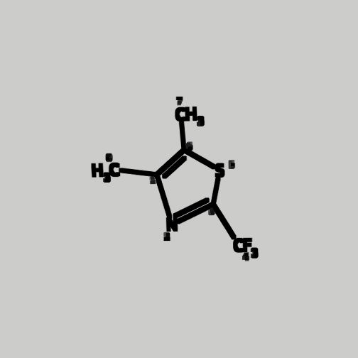 Cc1nc(C(F)(F)F)sc1C